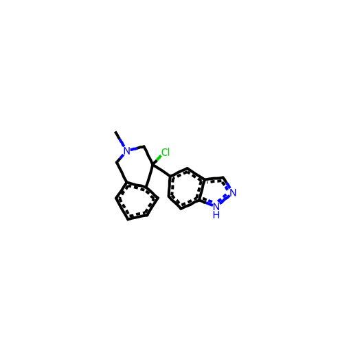 CN1Cc2ccccc2C(Cl)(c2ccc3[nH]ncc3c2)C1